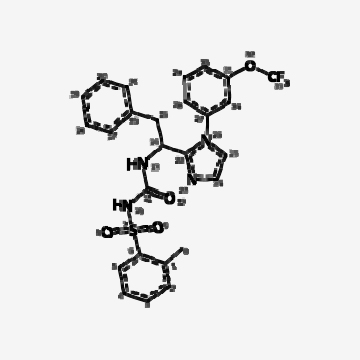 Cc1ccccc1S(=O)(=O)NC(=O)NC(Cc1ccccc1)c1nccn1-c1cccc(OC(F)(F)F)c1